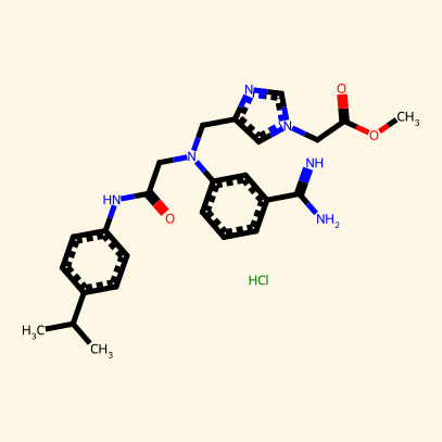 COC(=O)Cn1cnc(CN(CC(=O)Nc2ccc(C(C)C)cc2)c2cccc(C(=N)N)c2)c1.Cl